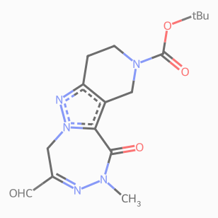 CN1N=C(C=O)Cn2nc3c(c2C1=O)CN(C(=O)OC(C)(C)C)CC3